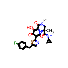 CC(C)N1C[C@@](C)(C(=O)NC2CC2)n2cc(-c3ncc(Cc4ccc(F)cc4)s3)c(=O)c(O)c2C1=O